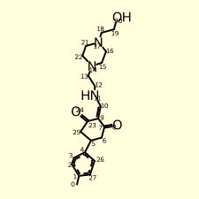 Cc1ccc(C2CC(=O)C(=CNCCN3CCN(CCO)CC3)C(=O)C2)cc1